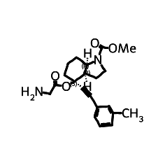 COC(=O)N1CC[C@@H]2[C@H]1CCC[C@]2(C#Cc1cccc(C)c1)OC(=O)CN